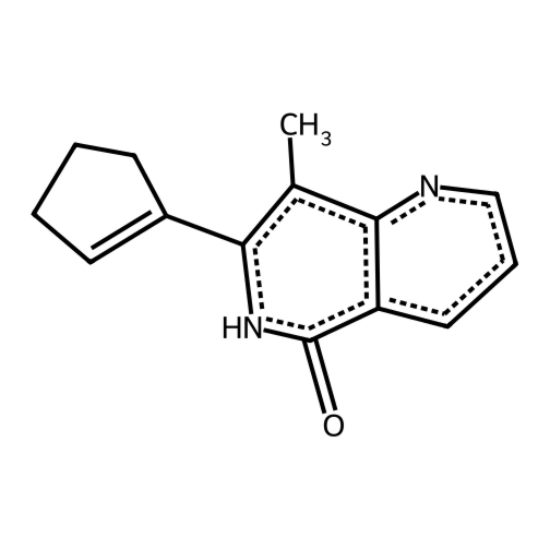 Cc1c(C2=CCCC2)[nH]c(=O)c2cccnc12